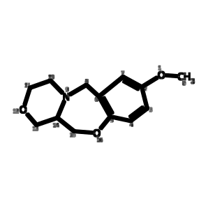 COc1ccc2c(c1)CN1CCOCC1CO2